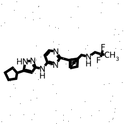 CC(F)(F)CNCC12CC(C1)N(c1nccc(Nc3cc(C4CCCC4)[nH]n3)n1)C2